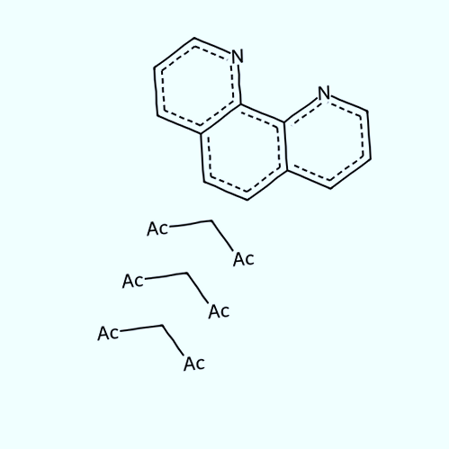 CC(=O)CC(C)=O.CC(=O)CC(C)=O.CC(=O)CC(C)=O.c1cnc2c(c1)ccc1cccnc12